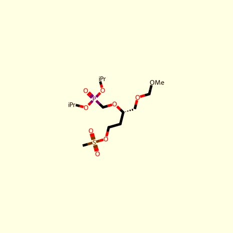 COCOC[C@H](CCOS(C)(=O)=O)OCP(=O)(OC(C)C)OC(C)C